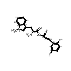 Cn1cc(C[C@H](N)C(=O)OC(=O)C=Cc2cc(F)ccc2F)c2ccccc21